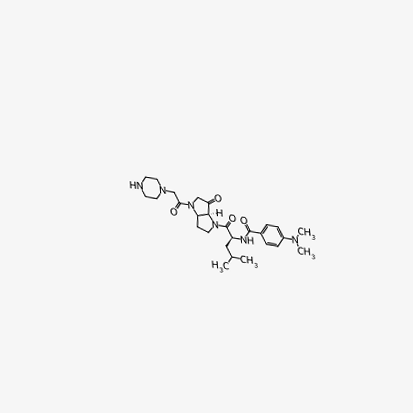 CC(C)C[C@H](NC(=O)c1ccc(N(C)C)cc1)C(=O)N1CCC2[C@H]1C(=O)CN2C(=O)CN1CCNCC1